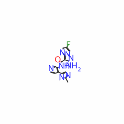 Cc1ncc(-c2ccncc2NC(=O)c2c(N)nn3cc(F)cnc23)n1C